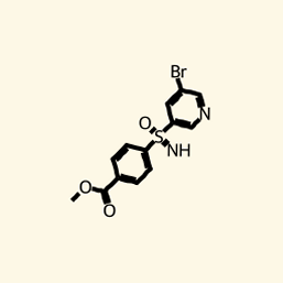 COC(=O)c1ccc(S(=N)(=O)c2cncc(Br)c2)cc1